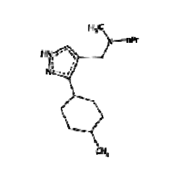 CCCN(C)Cc1c[nH]nc1C1CCC(C)CC1